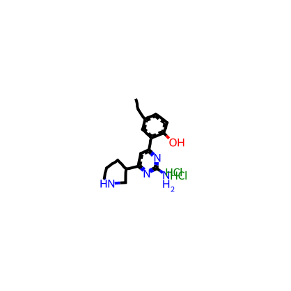 CCc1ccc(O)c(-c2cc(C3CCCNC3)nc(N)n2)c1.Cl.Cl